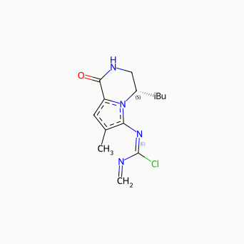 C=N/C(Cl)=N\c1c(C)cc2n1[C@@H](C(C)CC)CNC2=O